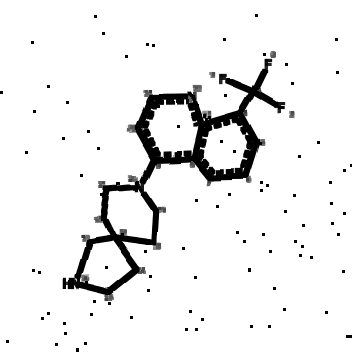 FC(F)(F)c1cccc2c(N3CCC4(CCNC4)CC3)ccnc12